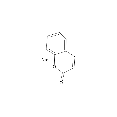 O=c1ccc2ccccc2o1.[Na]